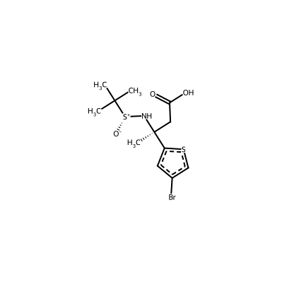 CC(C)(C)[S@@+]([O-])N[C@@](C)(CC(=O)O)c1cc(Br)cs1